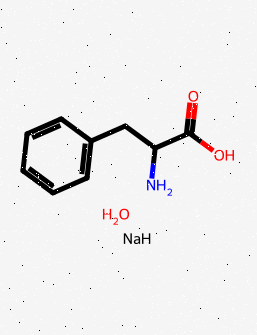 NC(Cc1ccccc1)C(=O)O.O.[NaH]